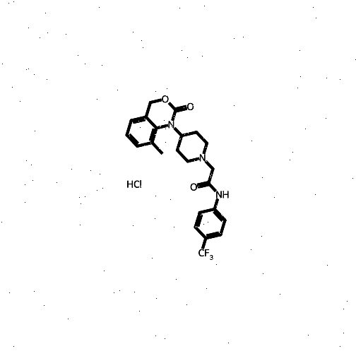 Cc1cccc2c1N(C1CCN(CC(=O)Nc3ccc(C(F)(F)F)cc3)CC1)C(=O)OC2.Cl